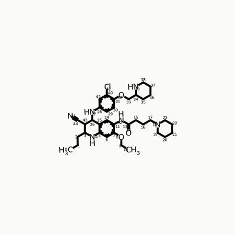 CCCC1Nc2cc(OCC)c(NC(=O)CCCN3CCCCC3)cc2C(Nc2ccc(OCC3CCCCN3)c(Cl)c2)C1C#N